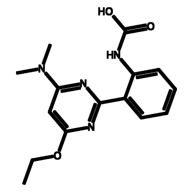 CCOc1cc(N(C)C)nc(-c2ccccc2NC(=O)O)n1